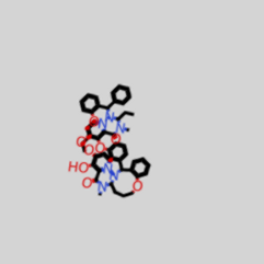 CCCCOc1ccccc1C(c1ccccc1)N1C(CC)N(C)C(=O)c2c(Oc3cccc(C4c5ccccc5OCCCC5N(C)C(=O)c6c(O)c(=O)ccn6N45)c3)c(=O)ccn21